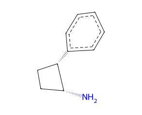 N[C@@H]1CC[C@@H]1c1ccccc1